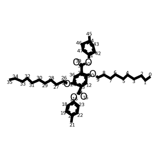 CCCCCCCCCCOc1cc(C(=O)Oc2ccc(C)cc2)c(OCCCCCCCCCC)cc1C(=O)Oc1ccc(C)cc1